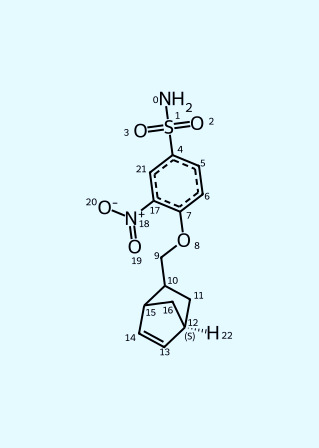 NS(=O)(=O)c1ccc(OCC2C[C@H]3C=CC2C3)c([N+](=O)[O-])c1